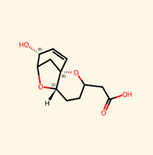 O=C(O)CC1CC[C@@H]2OC3C[C@]2(C=C[C@H]3O)O1